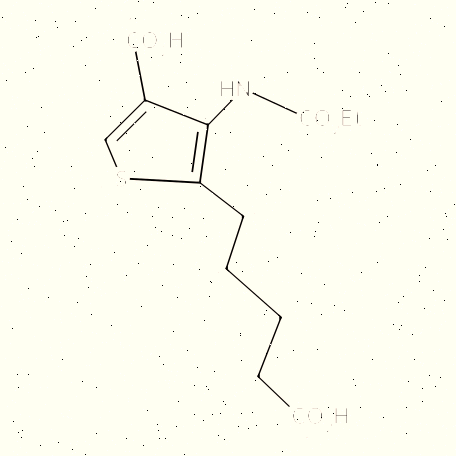 CCOC(=O)Nc1c(C(=O)O)csc1CCCCC(=O)O